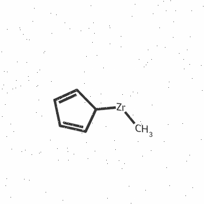 [CH3][Zr][CH]1C=CC=C1